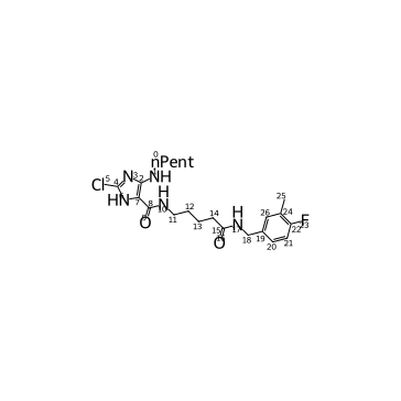 CCCCCNc1nc(Cl)[nH]c1C(=O)NCCCCC(=O)NCc1ccc(F)c(C)c1